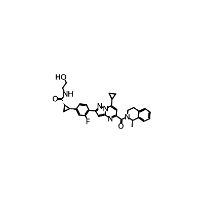 C[C@@H]1c2ccccc2CCN1C(=O)c1cc(C2CC2)n2nc(-c3ccc([C@H]4C[C@@H]4C(=O)NCCO)cc3F)cc2n1